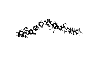 Cc1cc(-c2cnc(CN3CCC(N4CCN(c5cc6c(cc5F)C(=O)N(C5CCC(=O)NC5=O)C6=O)CC4)CC3)cn2)ccc1-n1cc(C(=O)NCc2nc(C(C)(C)C(F)(F)F)n[nH]2)cn1